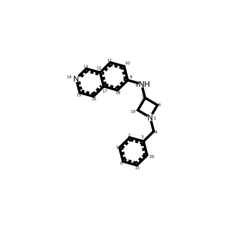 c1ccc(CN2CC(Nc3ccc4cnccc4c3)C2)cc1